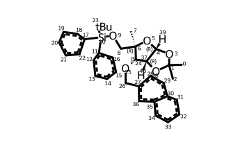 CC1(C)O[C@H]2O[C@](C)(CO[Si](c3ccccc3)(c3ccccc3)C(C)(C)C)[C@@H](OCc3ccc4ccccc4c3)[C@H]2O1